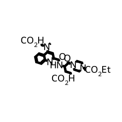 CCOC(=O)N1CCN(C(=O)C(CCC(=O)O)NC(=O)c2cc(N(C)CC(=O)O)c3ccccc3n2)CC1